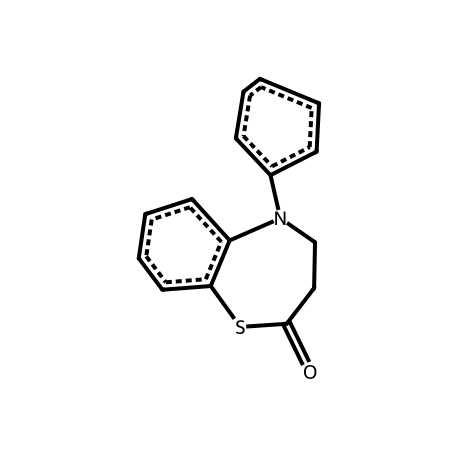 O=C1CCN(c2ccccc2)c2ccccc2S1